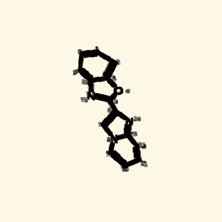 c1ccc2oc(-c3cn4ccccc4n3)nc2c1